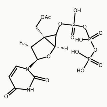 CC(=O)OC[C@]12C(OP(=O)(O)OP(=O)(O)OP(=O)(O)O)[C@H]1O[C@@H](n1ccc(=O)[nH]c1=O)[C@@H]2F